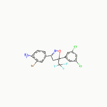 Nc1ccc(C2=NOC(c3cc(Cl)cc(Cl)c3)(C(F)(F)F)C2)cc1Br